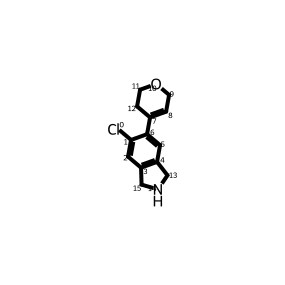 Clc1cc2c(cc1C1=CCOCC1)CNC2